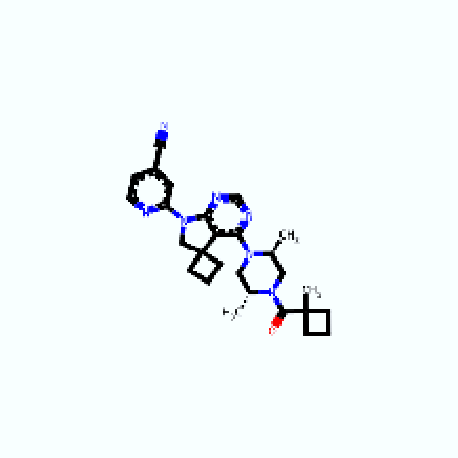 C[C@@H]1CN(c2ncnc3c2C2(CCC2)CN3c2cc(C#N)ccn2)[C@@H](C)CN1C(=O)C1(C)CCC1